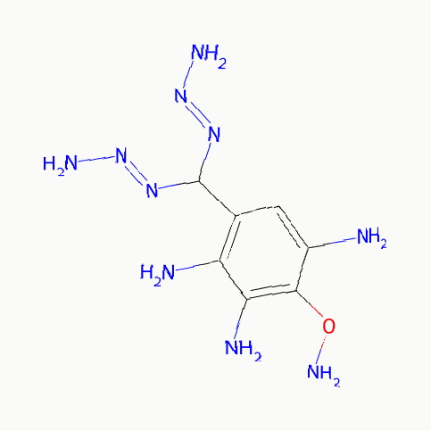 NN=NC(N=NN)c1cc(N)c(ON)c(N)c1N